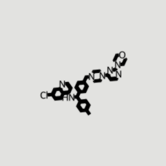 Cc1ccc(C(Nc2ccnc3cc(Cl)ccc23)c2ccc(CN3CCN(c4ccnc(N5CCOCC5)n4)CC3)cc2)cc1